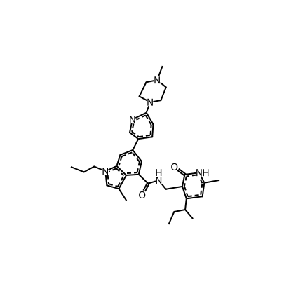 CCCn1cc(C)c2c(C(=O)NCc3c(C(C)CC)cc(C)[nH]c3=O)cc(-c3ccc(N4CCN(C)CC4)nc3)cc21